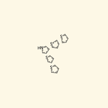 c1cc[nH]c1.c1ccsc1.c1ccsc1.c1ccsc1.c1ccsc1